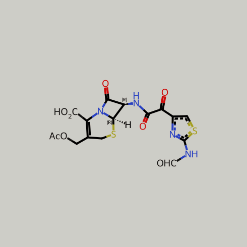 CC(=O)OCC1=C(C(=O)O)N2C(=O)[C@@H](NC(=O)C(=O)c3csc(NC=O)n3)[C@H]2SC1